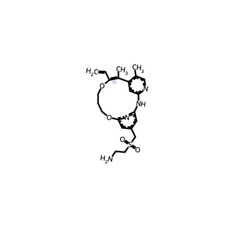 C=C/C1=C(\C)c2cc(ncc2C)Nc2cc(CS(=O)(=O)CCN)cc(n2)OCCCO1